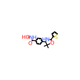 CC(C)(C)C(NC(=O)c1cccs1)c1ccc(C(=O)NO)cc1